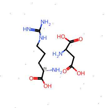 N=C(N)NCCC[C@H](N)C(=O)O.NC(CC(=O)O)C(=O)O